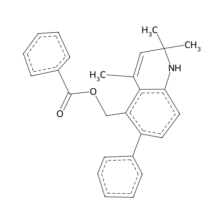 CC1=CC(C)(C)Nc2ccc(-c3ccccc3)c(COC(=O)c3ccccc3)c21